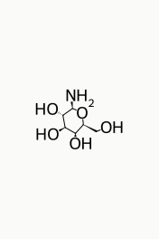 N[C@H]1O[C@@H](CO)[C@@H](O)[C@@H](O)[C@@H]1O